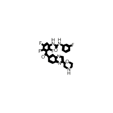 O=C(Nc1cccc(F)c1)Nc1cc(F)c(F)c(C(=O)c2ccc3nc(C4CNCCO4)cnc3c2)c1F